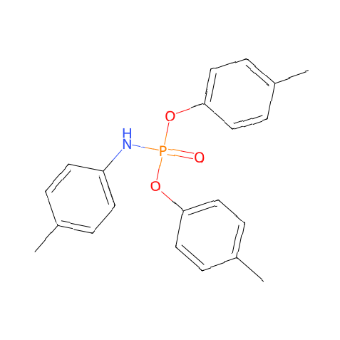 Cc1ccc(NP(=O)(Oc2ccc(C)cc2)Oc2ccc(C)cc2)cc1